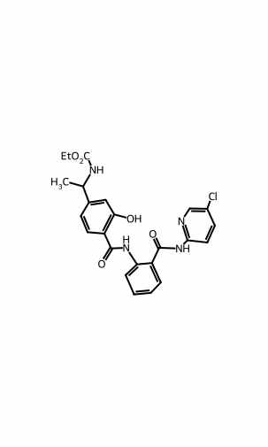 CCOC(=O)NC(C)c1ccc(C(=O)Nc2ccccc2C(=O)Nc2ccc(Cl)cn2)c(O)c1